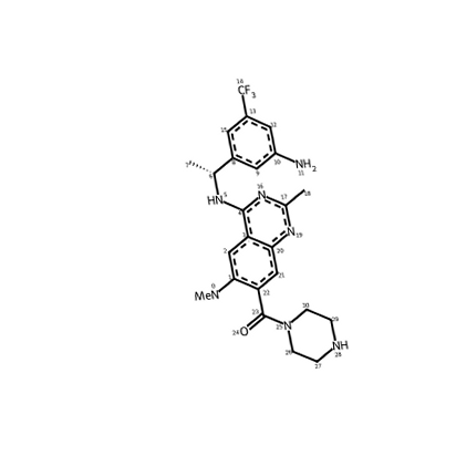 CNc1cc2c(N[C@H](C)c3cc(N)cc(C(F)(F)F)c3)nc(C)nc2cc1C(=O)N1CCNCC1